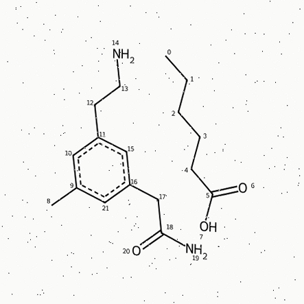 CCCCCC(=O)O.Cc1cc(CCN)cc(CC(N)=O)c1